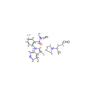 CCC(CCC=O)N1CC[C@@H](Cc2cn(-c3ccc(F)cc3C(=O)N(C)C(C)C)c3cncc(C)c23)C1